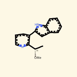 CO[C@@H](C)c1ncccc1-c1cc2ccccc2[nH]1